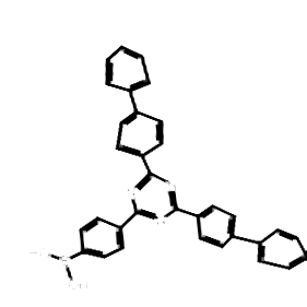 OB(O)c1ccc(-c2nc(-c3ccc(-c4ccccc4)cc3)nc(-c3ccc(-c4ccccc4)cc3)n2)cc1